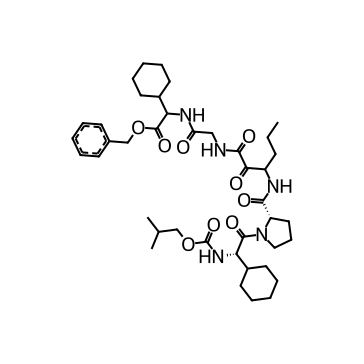 CCCC(NC(=O)[C@@H]1CCCN1C(=O)[C@@H](NC(=O)OCC(C)C)C1CCCCC1)C(=O)C(=O)NCC(=O)NC(C(=O)OCc1ccccc1)C1CCCCC1